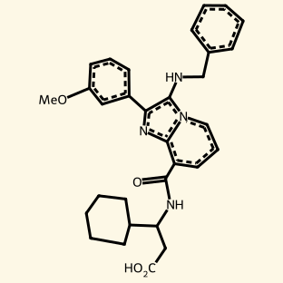 COc1cccc(-c2nc3c(C(=O)NC(CC(=O)O)C4CCCCC4)cccn3c2NCc2ccccc2)c1